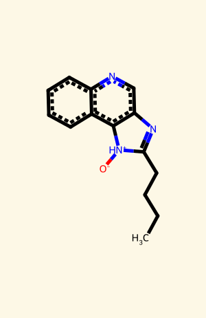 CCCCC1=Nc2cnc3ccccc3c2[NH+]1[O-]